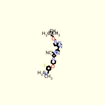 CN(C)Cc1cc(F)cc(OC2CCN(C3CC(CC#N)(n4cc(-c5ncnc6c5ccn6COCC[Si](C)(C)C)cn4)C3)CC2)c1